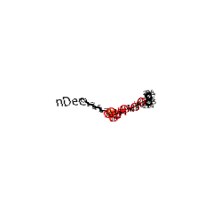 CCCCCCCCCCCCCCCCCOP(=O)(O)OCCOCCOCCOc1cccc2ccccc12